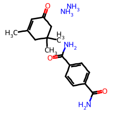 CC1=CC(=O)CC(C)(C)C1.N.N.NC(=O)c1ccc(C(N)=O)cc1